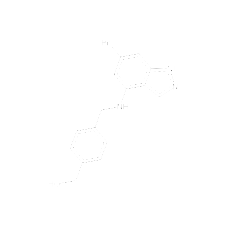 OCc1ccc(CNc2cc(Br)cc3[nH]ncc23)cc1